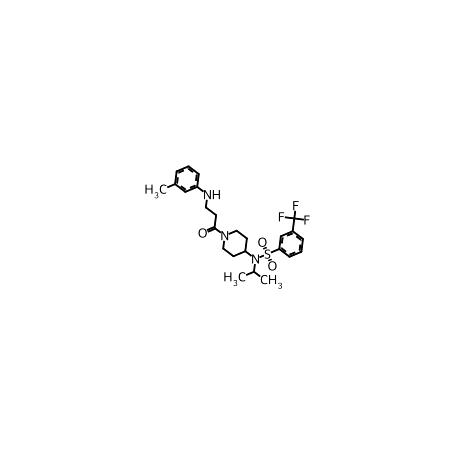 Cc1cccc(NCCC(=O)N2CCC(N(C(C)C)S(=O)(=O)c3cccc(C(F)(F)F)c3)CC2)c1